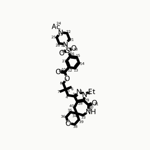 CCn1nc(CC(C)(C)COC(=O)c2cccc(S(=O)(=O)N3CCN(C(C)=O)CC3)c2)c2c1C(=O)NCC1(CCOCC1)C2